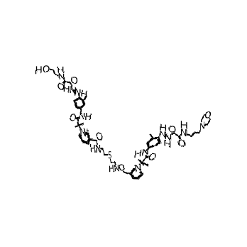 Cc1cc(NC(=O)C(C)(C)[n+]2cccc(C(=O)NCCSCCNOCc3ccc[n+](C(C)(C)C(=O)Nc4ccc(NNC(=O)C(=O)NCCCN5CCOCC5)c(C)c4)c3)c2)ccc1NNC(=O)C(=O)NCCO